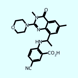 Cc1cc(C(C)Nc2ccc(C#N)cc2C(=O)O)c2nc(N3CCOCC3)n(C)c(=O)c2c1